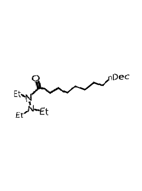 CCCCCCCCCCCCCCCCCC(=O)N(CC)N(CC)CC